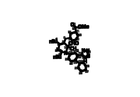 CCCCC1=NC(CCCC)=C(Cc2cccc(C(=O)OC)c2)C(C)(C=O)N1c1ccc(-c2ccccc2)c(-c2nnn[nH]2)c1